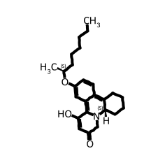 CCCCCC[C@H](C)Oc1ccc2c(c1)=C1C(O)=CC(=O)CN1[C@H]1CCCCC=21